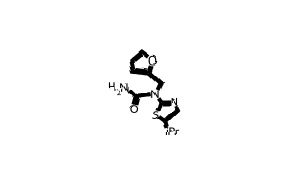 CC(C)c1cnc(N(Cc2ccco2)C(N)=O)s1